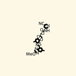 COc1cnc2c(-c3nc4c(C)cc5c(c4s3)OC[C@H](COC(=O)Nc3cncc(C#N)c3)O5)cc(C)cc2n1